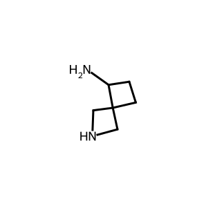 NC1CCC12CNC2